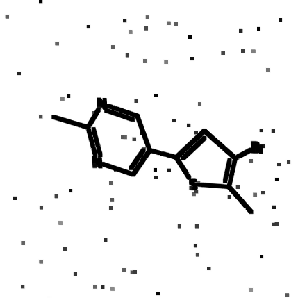 Cc1ncc(-c2cc(Br)c(C)s2)cn1